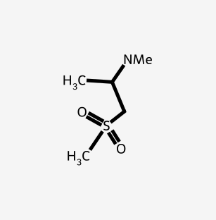 CNC(C)CS(C)(=O)=O